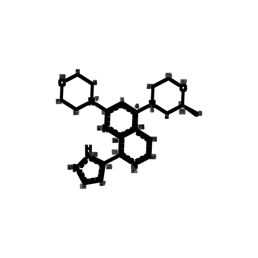 C[C@H]1CN(c2cc(N3CCOCC3)nc3c(-c4ccn[nH]4)nccc23)CCO1